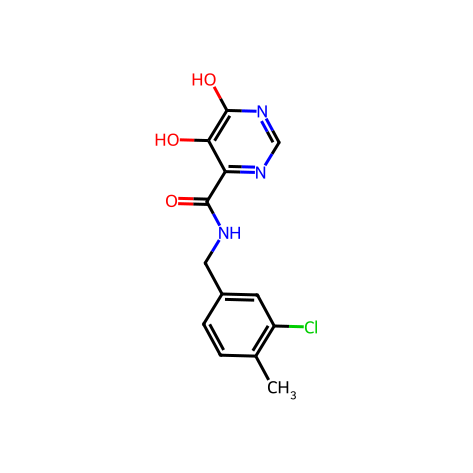 Cc1ccc(CNC(=O)c2ncnc(O)c2O)cc1Cl